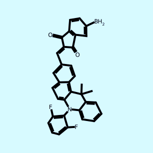 Bc1ccc2c(c1)C(=O)/C(=C\c1ccc3c4c(ccc3c1)N(c1c(F)cccc1F)c1ccccc1C4(C)C)C2=O